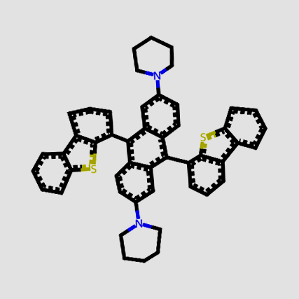 c1ccc2c(c1)sc1c(-c3c4ccc(N5CCCCC5)cc4c(-c4cccc5c4sc4ccccc45)c4ccc(N5CCCCC5)cc34)cccc12